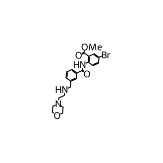 COC(=O)c1cc(Br)ccc1NC(=O)c1cccc(CNCCN2CCOCC2)c1